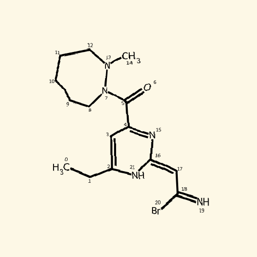 CCC1=CC(C(=O)N2CCCCCN2C)=N/C(=C/C(=N)Br)N1